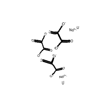 O=C([O-])C(=O)[O-].O=C([O-])C(=O)[O-].O=C([O-])C(=O)[O-].[Nd+3].[Nd+3].[U].[U]